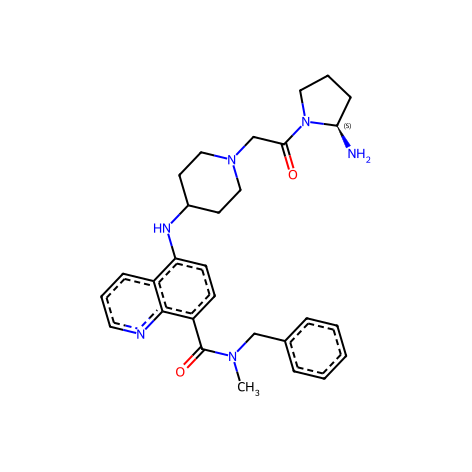 CN(Cc1ccccc1)C(=O)c1ccc(NC2CCN(CC(=O)N3CCC[C@H]3N)CC2)c2cccnc12